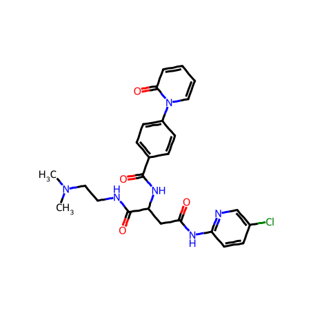 CN(C)CCNC(=O)C(CC(=O)Nc1ccc(Cl)cn1)NC(=O)c1ccc(-n2ccccc2=O)cc1